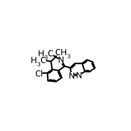 CC1c2c(Cl)cccc2C(c2cc3ccccc3nn2)=NC1(C)C